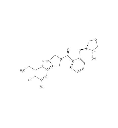 CCc1c(Cl)c(C)nc2c3c(nn12)CN(C(=O)c1ccccc1O[C@H]1COC[C@@H]1O)C3